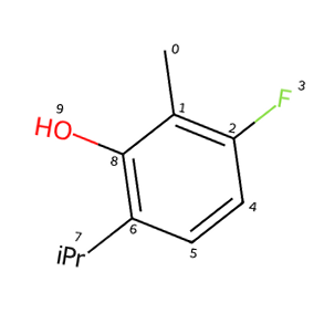 Cc1c(F)ccc(C(C)C)c1O